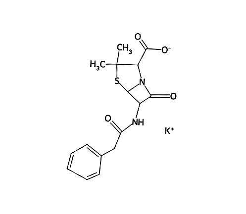 CC1(C)SC2C(NC(=O)Cc3ccccc3)C(=O)N2C1C(=O)[O-].[K+]